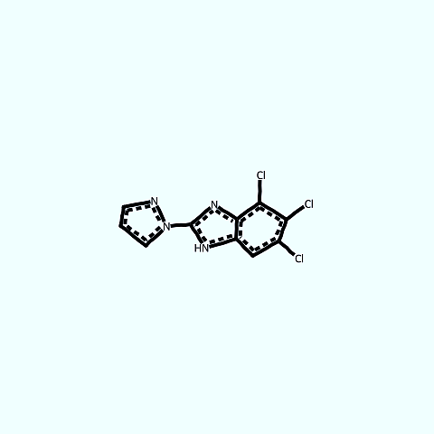 Clc1cc2[nH]c(-n3cccn3)nc2c(Cl)c1Cl